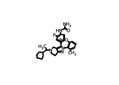 Cc1cccc(OCC(C)C)c1-n1nc2c(c1-c1ccc(NC(N)=O)c(F)c1)CN(C(C)C1CCCCC1)CC2